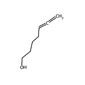 C=C=CCCCCO